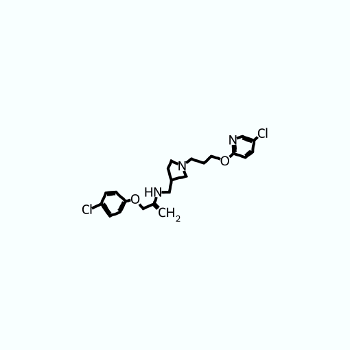 C=C(COc1ccc(Cl)cc1)NCC1CCN(CCCOc2ccc(Cl)cn2)C1